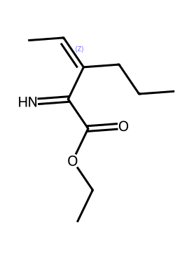 C/C=C(/CCC)C(=N)C(=O)OCC